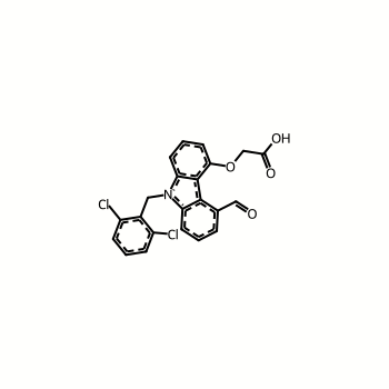 O=Cc1cccc2c1c1c(OCC(=O)O)cccc1n2Cc1c(Cl)cccc1Cl